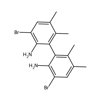 Cc1cc(Br)c(N)c(-c2c(C)c(C)cc(Br)c2N)c1C